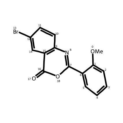 COc1ccccc1-c1nc2ccc(Br)cc2c(=O)o1